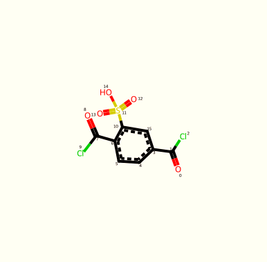 O=C(Cl)c1ccc(C(=O)Cl)c(S(=O)(=O)O)c1